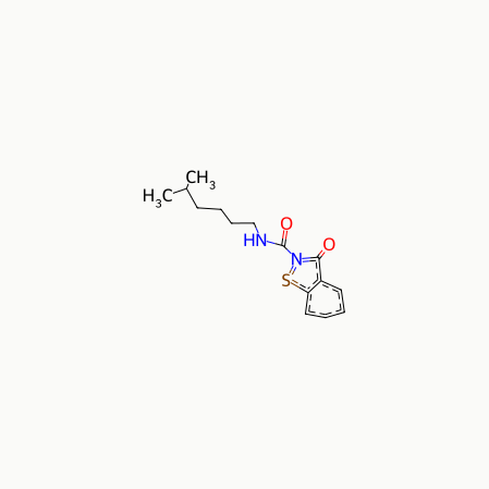 CC(C)CCCCNC(=O)n1sc2ccccc2c1=O